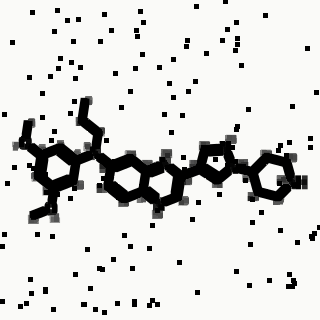 CCCN(c1cc(OC)cc(OC)c1)c1ccc2ncc(-c3cnn(C4CCNCC4)c3)nc2c1